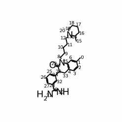 Cc1ccc2c(c1)N(CCCCCN1C(C)CCC[C@H]1C)C(=O)C(c1cccc(C(=N)N)c1)C2